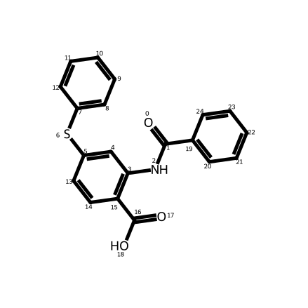 O=C(Nc1cc(Sc2ccccc2)ccc1C(=O)O)c1ccccc1